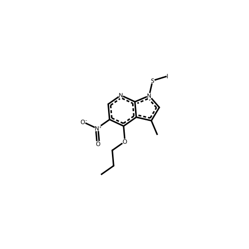 CCCOc1c([N+](=O)[O-])cnc2c1c(C)cn2SI